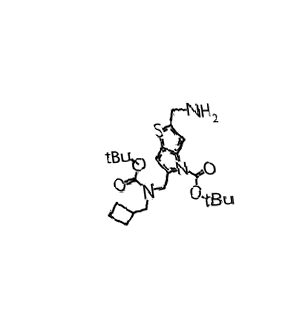 CC(C)(C)OC(=O)N(Cc1cc2sc(CN)cc2n1C(=O)OC(C)(C)C)CC1CCC1